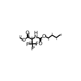 CCCCOC(=O)NC(C(=O)OC)C(F)(F)F